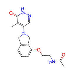 CC(=O)NCCOc1cccc2c1CN(c1cn[nH]c(=O)c1C)C2